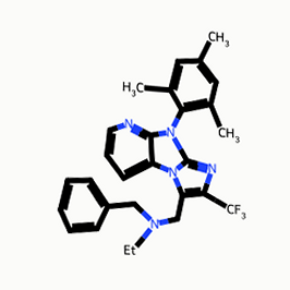 CCN(Cc1ccccc1)Cc1c(C(F)(F)F)nc2n(-c3c(C)cc(C)cc3C)c3ncccc3n12